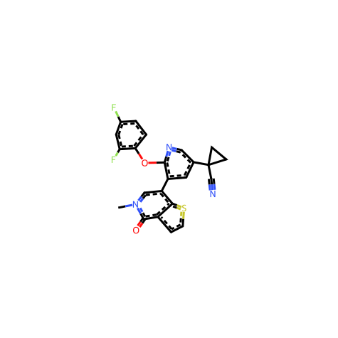 Cn1cc(-c2cc(C3(C#N)CC3)cnc2Oc2ccc(F)cc2F)c2sccc2c1=O